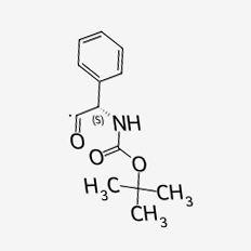 CC(C)(C)OC(=O)N[C@H]([C]=O)c1ccccc1